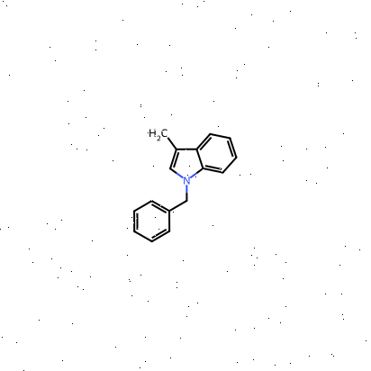 [CH2]c1cn(Cc2ccccc2)c2ccccc12